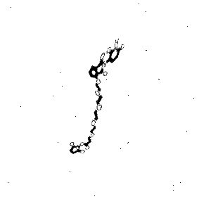 O=C1CCC(N2C(=O)c3cccc(OCCOCCOCCOCCOCCC(=O)ON4C(=O)CCC4=O)c3C2=O)C(=O)N1